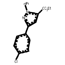 CCCn1nc(-c2ccc(Cl)cc2)cc1C(=O)OCC